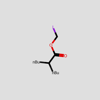 CCCCC(CCCC)C(=O)OCI